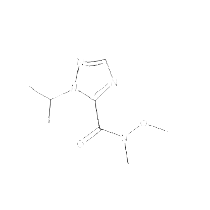 CON(C)C(=O)c1ncnn1C(C)C